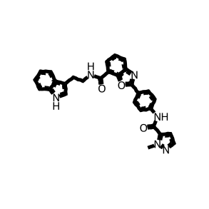 Cn1nccc1C(=O)Nc1ccc(-c2nc3cccc(C(=O)NCCc4c[nH]c5ccccc45)c3o2)cc1